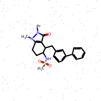 CC(C)n1c(=O)c2c(n1C)CCC(NS(C)(=O)=O)C2Cc1cccc(-c2ccccc2)c1